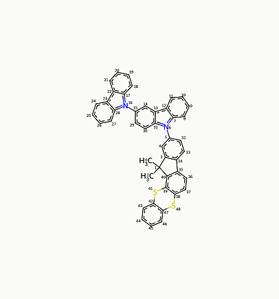 CC1(C)c2cc(-n3c4ccccc4c4cc(-n5c6ccccc6c6ccccc65)ccc43)ccc2-c2ccc3c(c21)Sc1ccccc1S3